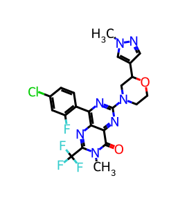 Cn1cc(C2CN(c3nc(-c4ccc(Cl)cc4F)c4nc(C(F)(F)F)n(C)c(=O)c4n3)CCO2)cn1